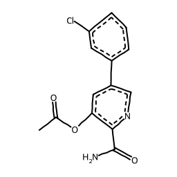 CC(=O)Oc1cc(-c2cccc(Cl)c2)cnc1C(N)=O